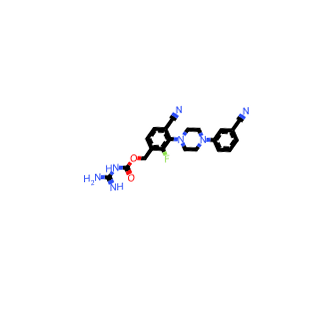 N#Cc1cccc(N2CCN(c3c(C#N)ccc(COC(=O)NC(=N)N)c3F)CC2)c1